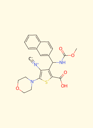 [C-]#[N+]c1c(N2CCOCC2)sc(C(=O)O)c1C(NC(=O)OC)c1ccc2ccccc2c1